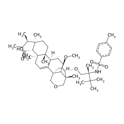 CO[C@@H]1C[C@@]23COC[C@](C)([C@@H]2CC[C@H]2C3=CC[C@@]3(C)[C@H](C(=O)O)[C@@](C)([C@H](C)C(C)C)CC[C@]23C)[C@H]1OC[C@](C)(NS(=O)(=O)c1ccc(C)cc1)C(C)(C)C